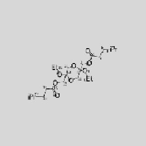 CCOC1(COC(=O)CCC(C)C)COC(COC(=O)CCC(C)C)(OCC)CO1